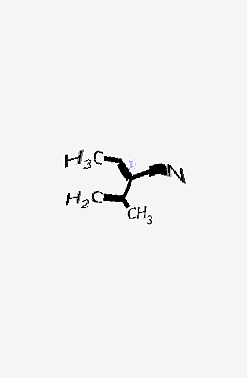 C=C(C)/C(C#N)=C\C